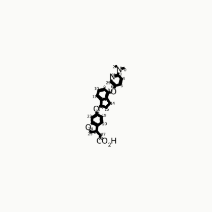 CN(C)c1ccc(Oc2cccc3c2CC[C@H]3Oc2ccc3c(c2)OCC3CC(=O)O)cn1